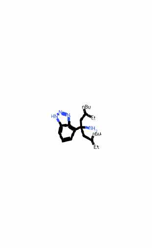 CCCCC(CC)CC(N)(CC(CC)CCCC)c1cccc2[nH]nnc12